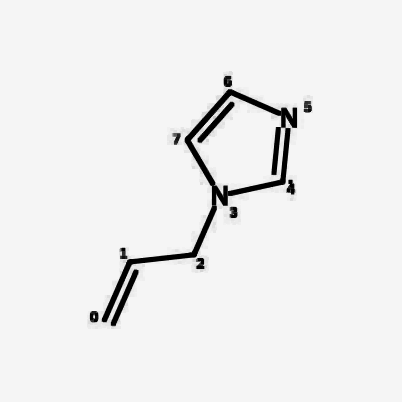 C=CCn1[c]ncc1